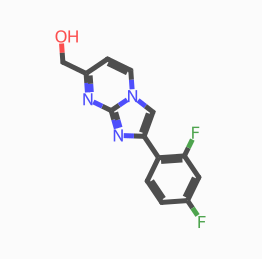 OCc1ccn2cc(-c3ccc(F)cc3F)nc2n1